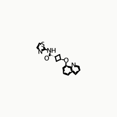 O=C(Nc1nccs1)[C@H]1C[C@H](Oc2cccc3cccnc23)C1